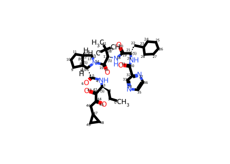 CCC[C@H](NC(=O)[C@@H]1[C@H]2CCC[C@H]2CN1C(=O)[C@@H](NC(=O)[C@H](CC1CCCCC1)NC(=O)c1cnccn1)C(C)(C)C)C(=O)C(=O)CC1CC1